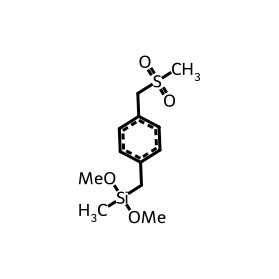 CO[Si](C)(Cc1ccc(CS(C)(=O)=O)cc1)OC